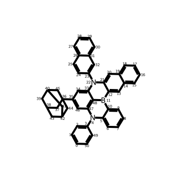 c1ccc(N2c3ccccc3B3c4cc5ccccc5cc4N(c4ccc5ccccc5c4)c4cc(C56CC7CC(CC(C7)C5)C6)cc2c43)cc1